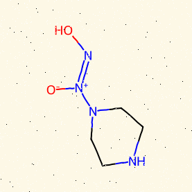 [O-][N+](=NO)N1CCNCC1